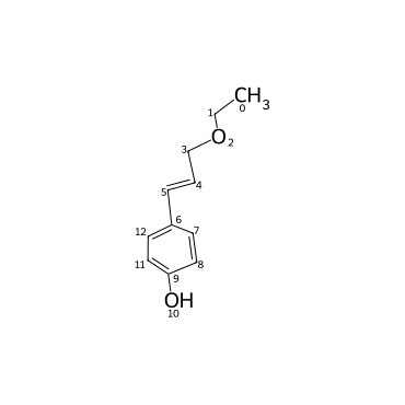 CCOC/C=C/c1ccc(O)cc1